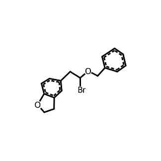 BrC(Cc1ccc2c(c1)CCO2)OCc1ccccc1